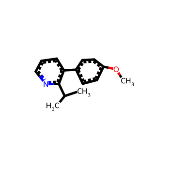 COc1ccc(-c2cccnc2C(C)C)cc1